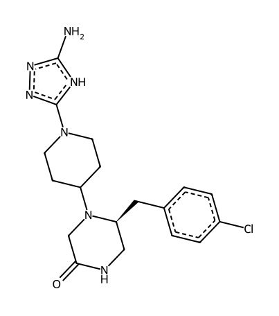 Nc1nnc(N2CCC(N3CC(=O)NC[C@@H]3Cc3ccc(Cl)cc3)CC2)[nH]1